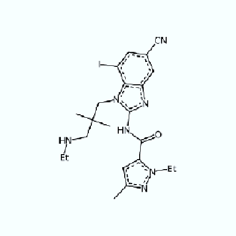 CCNCC(C)(C)Cn1c(NC(=O)c2cc(C)nn2CC)nc2cc(C#N)cc(I)c21